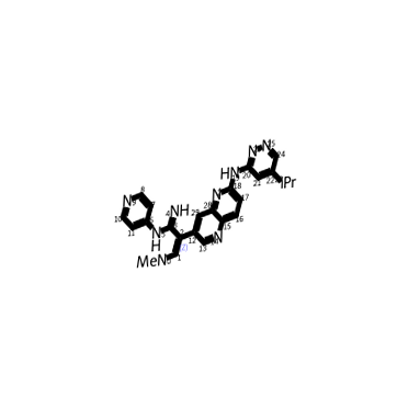 CN/C=C(\C(=N)Nc1ccncc1)c1cnc2ccc(Nc3cc(C(C)C)cnn3)nc2c1